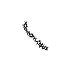 [CH2-][C+]1CCC(C(=O)OC2CCC(CCCCc3ccc(OCCCOc4ccc(C)cc4)cc3)CC2)CC1